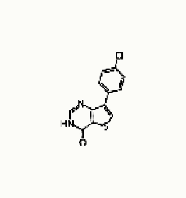 O=c1[nH]cnc2c(-c3ccc(Cl)cc3)csc12